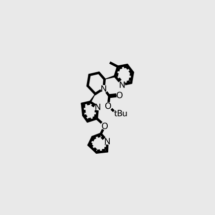 Cc1cccnc1[C@@H]1CCC[C@H](c2cccc(Oc3ccccn3)n2)N1C(=O)OC(C)(C)C